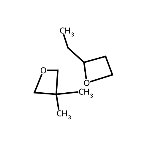 CC1(C)COC1.CCC1CCO1